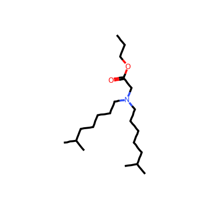 CCCOC(=O)CN(CCCCCC(C)C)CCCCCC(C)C